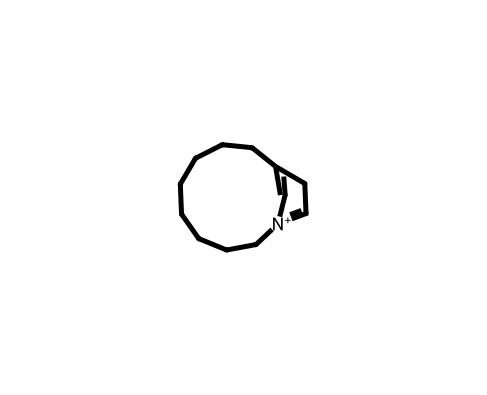 C1=C2CC=[N+]1CCCCCCCC2